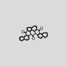 O=C1c2ccc3ccc4c5c3c2C(C(=O)C5c2ccc3ccccc3c2C4=O)c2ccc3ccccc3c21